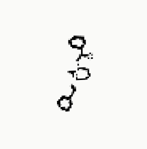 CN1[C@H](CC(=O)c2ccccc2)CCC[C@@H]1/C=C/c1ccccc1